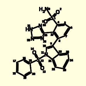 NS(=O)(=O)c1cccc(-c2cn(S(=O)(=O)c3ccccc3)c3ccccc23)c1-c1nn[nH]n1